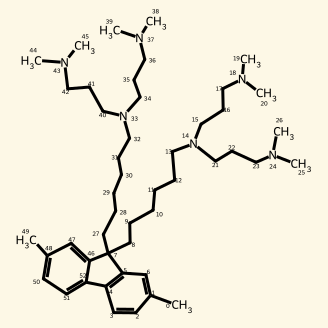 Cc1ccc2c(c1)C(CCCCCCN(CCCN(C)C)CCCN(C)C)(CCCCCCN(CCCN(C)C)CCCN(C)C)c1cc(C)ccc1-2